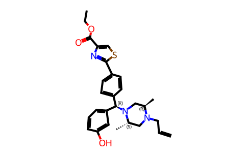 C=CCN1C[C@H](C)N([C@H](c2ccc(-c3nc(C(=O)OCC)cs3)cc2)c2cccc(O)c2)C[C@H]1C